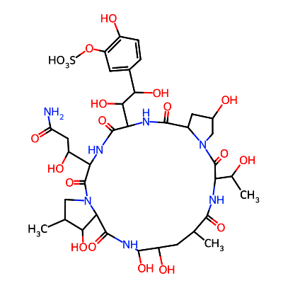 CC1CC(O)C(O)NC(=O)C2C(O)C(C)CN2C(=O)C(C(O)CC(N)=O)NC(=O)C(C(O)C(O)c2ccc(O)c(OS(=O)(=O)O)c2)NC(=O)C2CC(O)CN2C(=O)C(C(C)O)NC1=O